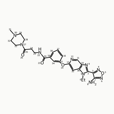 CCn1c(-c2nonc2N)nc2cnc(Oc3cccc(C(=O)NCCC(=O)N4CCN(C)CC4)c3)cc21